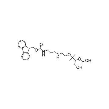 CC(C)(OCCNCCCNC(=O)OCC1c2ccccc2-c2ccccc21)C(CO)OCO